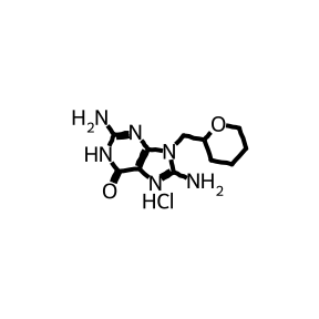 Cl.Nc1nc2c(nc(N)n2CC2CCCCO2)c(=O)[nH]1